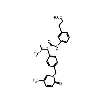 C[C@H]([C@H](C(=O)Nc1cccc(CCC(=O)O)c1)c1ccc(Cn2cc(C(F)(F)F)ccc2=O)cc1)C(F)(F)F